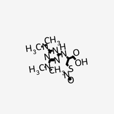 CN(C)c1nc(NC(CSN=O)C(=O)O)nc(N(C)C)n1